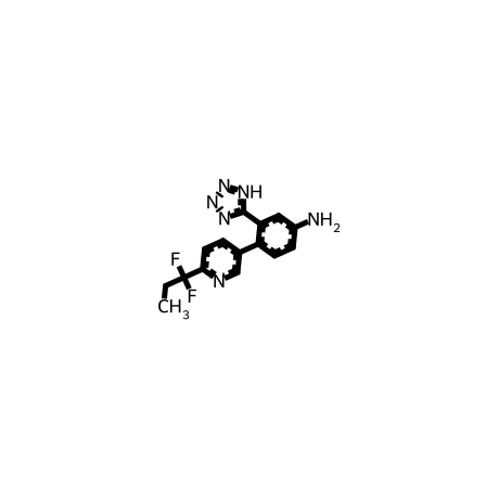 CCC(F)(F)c1ccc(-c2ccc(N)cc2-c2nnn[nH]2)cn1